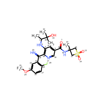 CC(Nc1cc(C(=O)NC2(C)CS(=O)(=O)C2)cnc1C(=N)c1cc(OC(F)(F)F)ccc1F)C(C)(C)O